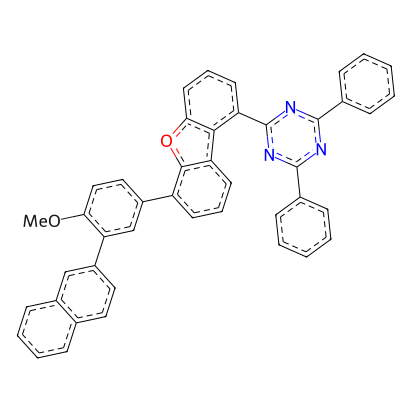 COc1ccc(-c2cccc3c2oc2cccc(-c4nc(-c5ccccc5)nc(-c5ccccc5)n4)c23)cc1-c1ccc2ccccc2c1